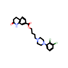 O=C1CCc2ccc(C(=O)OCCCCN3CCN(c4cccc(Cl)c4Cl)CC3)cc2N1